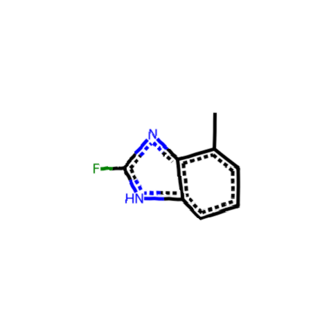 Cc1cccc2[nH]c(F)nc12